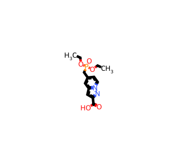 CCOP(=O)(Cc1ccn2nc(C(=O)O)cc2c1)OCC